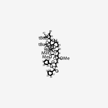 COC(C[C@@H]1OC(CC(COC(=O)c2ccccc2)OC(=O)c2ccccc2)[C@H](OC)C1CC(=O)C[C@H]1CC[C@@H]2OC(C(/C=C/I)O[Si](C)(C)C(C)(C)C)C(O[Si](C)(C)C(C)(C)C)C(O[Si](C)(C)C(C)(C)C)[C@H]2O1)OC